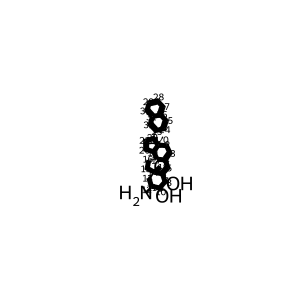 C[C@]12CC=C3C=C4[C@@H](O)[C@H](O)[C@@H](N)C[C@]45CC[C@]3(O5)[C@@H]1CC[C@@H]2c1ccc2ccccc2c1